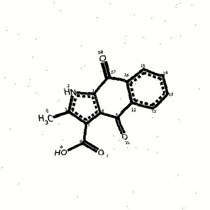 Cc1[nH]c2c(c1C(=O)O)C(=O)c1ccccc1C2=O